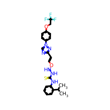 CC(C)c1ccccc1NC(=S)NNO/C=C/c1ncn(-c2ccc(OCC(F)(F)F)cc2)n1